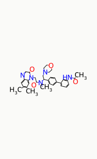 CC(=O)Nc1cccc(-c2ccc(C(CN3CCOCC3)N(C)C(=O)Cn3c(=O)cnc4cc(C)c(C)cc43)cc2)c1